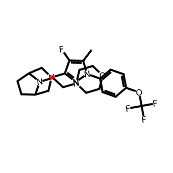 Cc1c(F)c(N2CC3CCC(C2)N3CCN2CCOCC2)nn1-c1ccc(OC(F)(F)F)cc1